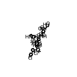 [2H]C1([2H])N(CC2=C(c3cccc(-c4ccc(Cl)cc4)c3Cl)CC(C)(C)CC2)C([2H])([2H])C([2H])([2H])N(c2ccc(C(=O)NS(=O)(=O)c3ccc(NCC4CCOCC4)c([N+](=O)[O-])c3)c(Oc3cnc4[nH]ccc4c3)c2)C1([2H])[2H]